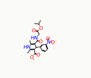 COC(=O)C1=C(C)NC(C)=C(C(=O)NCC(=O)OC(C)C)C1c1cccc([N+](=O)[O-])c1